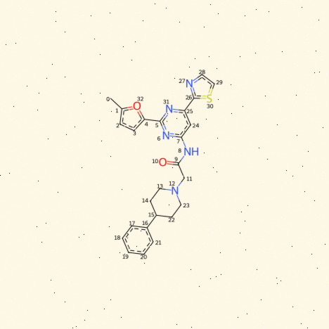 Cc1ccc(-c2nc(NC(=O)CN3CCC(c4ccccc4)CC3)cc(-c3nccs3)n2)o1